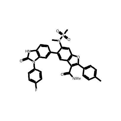 CNC(=O)c1c(-c2ccc(C)cc2)oc2cc(N(C)S(C)(=O)=O)c(-c3ccc4[nH]c(=O)n(-c5ccc(F)cc5)c4c3)cc12